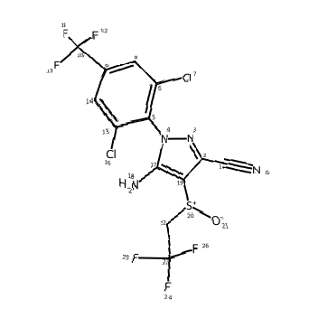 N#Cc1nn(-c2c(Cl)cc(C(F)(F)F)cc2Cl)c(N)c1[S+]([O-])CC(F)(F)F